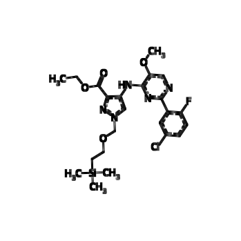 CCOC(=O)c1nn(COCC[Si](C)(C)C)cc1Nc1nc(-c2cc(Cl)ccc2F)ncc1OC